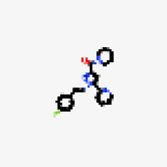 O=C(c1cc(-c2ccccn2)n(CCc2ccc(F)cc2)n1)N1CCCCC1